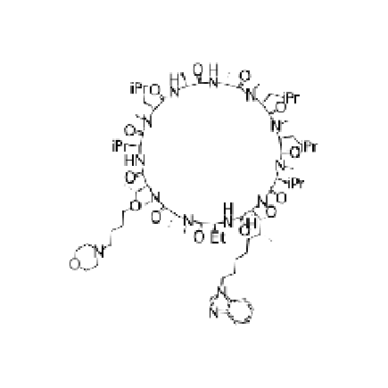 CC[C@@H]1NC(=O)[C@@H]2[C@@H]([C@H](C)CCCCCn3cnc4ccccc43)ON2C(=O)[C@H](C(C)C)N(C)C(=O)[C@H](CC(C)C)N(C)C(=O)[C@H](CC(C)C)N(C)C(=O)[C@@H](C)NC(=O)[C@H](C)NC(=O)[C@H](CC(C)C)N(C)C(=O)[C@H](C(C)C)NC(=O)[C@H]([C@@H](C)OCCCCN2CCOCC2)N(C)C(=O)[C@@H](C)N(C)C1=O